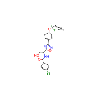 C=CC(F)(F)OC1C=CC(c2noc([C@@H](CO)NC(=O)C3C=CC(Cl)=CC3)n2)=CC1